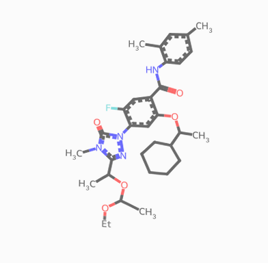 CCOC(C)OC(C)c1nn(-c2cc(OC(C)C3CCCCC3)c(C(=O)Nc3ccc(C)cc3C)cc2F)c(=O)n1C